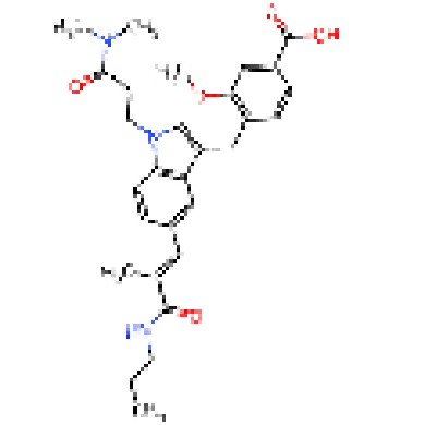 CCCNC(=O)/C(C)=C/c1ccc2c(c1)c(Cc1ccc(C(=O)O)cc1OC)cn2CCC(=O)N(C)C